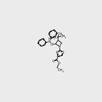 CCOC(=O)c1csc(N2CC(C(C)(C)C)C2O[SiH](c2ccccc2)c2ccccc2)n1